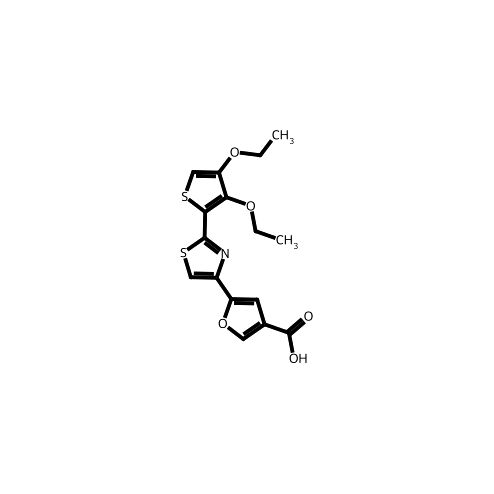 CCOc1csc(-c2nc(-c3cc(C(=O)O)co3)cs2)c1OCC